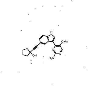 COc1cnc(N)nc1-c1c[nH]c2ccc(C#CC3(O)CCCC3)cc12